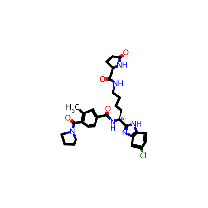 Cc1cc(C(=O)N[C@@H](CCCCNC(=O)C2CCC(=O)N2)c2nc3cc(Cl)ccc3[nH]2)ccc1C(=O)N1CCCC1